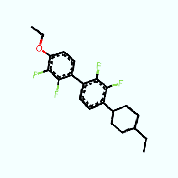 CCOc1ccc(-c2ccc(C3CCC(CC)CC3)c(F)c2F)c(F)c1F